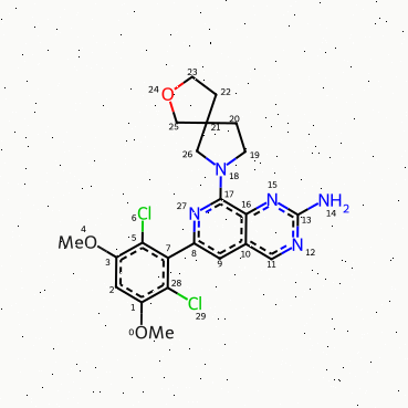 COc1cc(OC)c(Cl)c(-c2cc3cnc(N)nc3c(N3CCC4(CCOC4)C3)n2)c1Cl